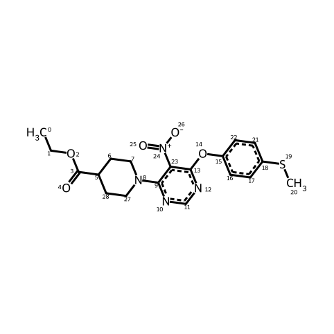 CCOC(=O)C1CCN(c2ncnc(Oc3ccc(SC)cc3)c2[N+](=O)[O-])CC1